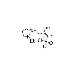 C=C/C(CC[C@@H]1CCCN1CC)=C(\C)S(=O)(=O)Cl